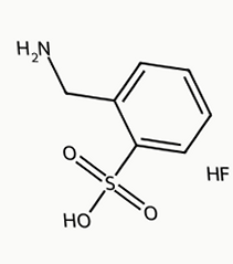 F.NCc1ccccc1S(=O)(=O)O